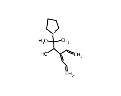 C=C/C=C(\C=C)C(O)C(C)(C)[S+]1CCCC1